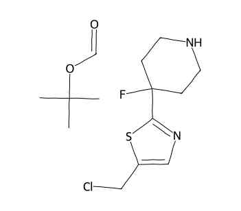 CC(C)(C)OC=O.FC1(c2ncc(CCl)s2)CCNCC1